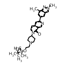 Cc1cc(-c2cc3ccn(C4CCN(CCO[Si](C)(C)C(C)(C)C)CC4)c(=O)c3cn2)cc2cn(C)nc12